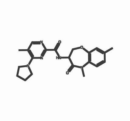 Cc1ccc2c(c1)OCC(NC(=O)c1ncc(C)c(N3CCCC3)n1)C(=O)N2C